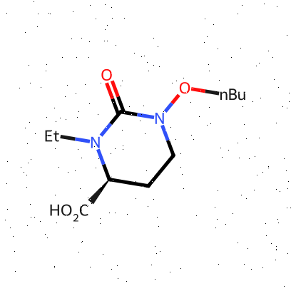 CCCCON1CC[C@@H](C(=O)O)N(CC)C1=O